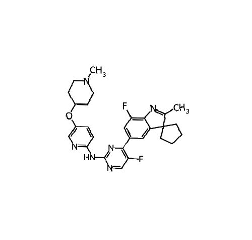 CC1=Nc2c(F)cc(-c3nc(Nc4ccc(OC5CCN(C)CC5)cn4)ncc3F)cc2C12CCCC2